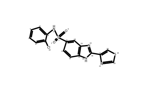 O=S(=O)(Nc1ccccc1Cl)c1ccc2[nH]c(-c3cscn3)nc2c1